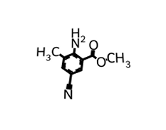 COC(=O)c1cc(C#N)cc(C)c1N